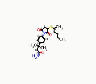 CCCCC(C)SC1CC(=O)N(c2ccc(C(C)(C)CC(N)=O)cc2)C1=O